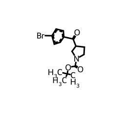 CC(C)(C)OC(=O)N1CCC(C(=O)c2ccc(Br)cc2)C1